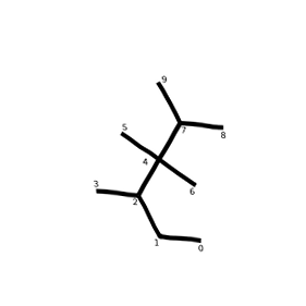 CCC(C)C(C)(C)C(C)C